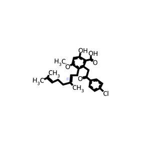 COc1cc(O)c(C(=O)O)c(CC(=O)c2ccc(Cl)cc2)c1C/C=C(\C)CCC=C(C)C